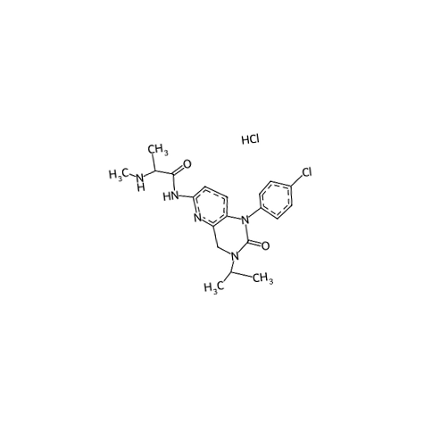 CNC(C)C(=O)Nc1ccc2c(n1)CN(C(C)C)C(=O)N2c1ccc(Cl)cc1.Cl